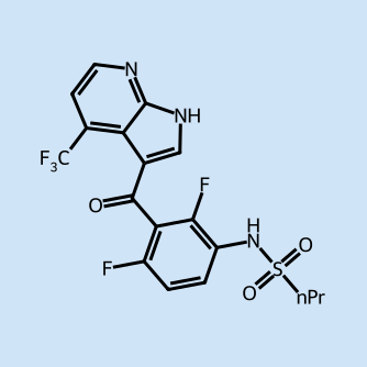 CCCS(=O)(=O)Nc1ccc(F)c(C(=O)c2c[nH]c3nccc(C(F)(F)F)c23)c1F